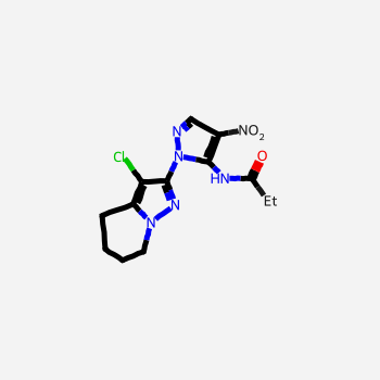 CCC(=O)Nc1c([N+](=O)[O-])cnn1-c1nn2c(c1Cl)CCCC2